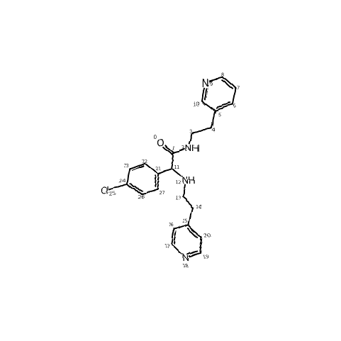 O=C(NCCc1cccnc1)C(NCCc1ccncc1)c1ccc(Cl)cc1